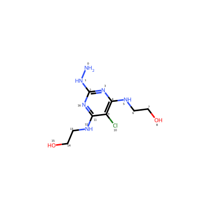 NNc1nc(NCCO)c(Cl)c(NCCO)n1